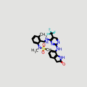 Cc1cccc(N(C)S(C)(=O)=O)c1CNc1nc(Nc2cccc3c2NC(=O)C3)ncc1C(F)(F)F